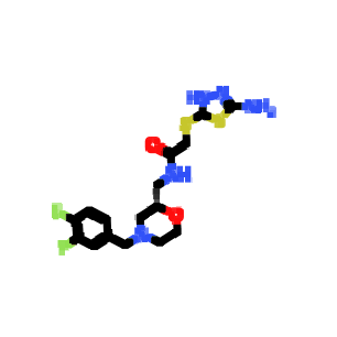 NC1=NNC(SCC(=O)NC[C@H]2CN(Cc3ccc(F)c(F)c3)CCO2)S1